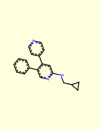 c1ccc(-c2cnc(NCC3CC3)cc2-c2ccncc2)cc1